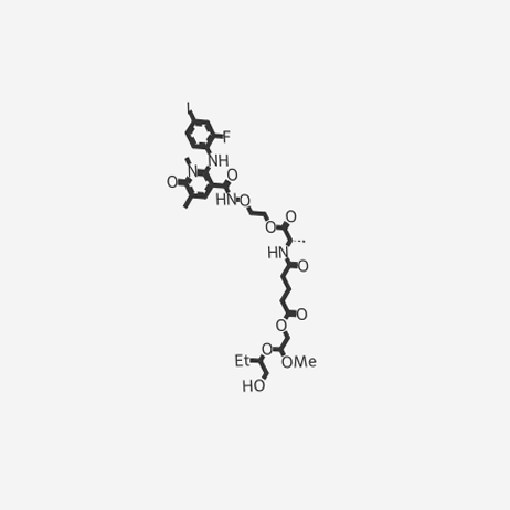 CCC(CO)OC(COC(=O)CCCC(=O)N[C@@H](C)C(=O)OCCONC(=O)c1cc(C)c(=O)n(C)c1Nc1ccc(I)cc1F)OC